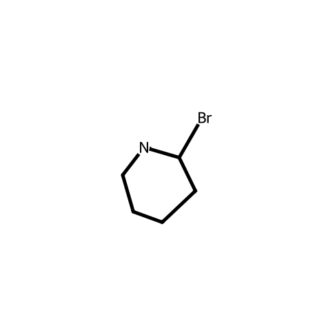 BrC1CCCC[N]1